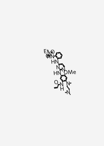 C=CC(=O)Nc1cc(Nc2nccc(Nc3ccccc3NS(=O)(=O)CC)n2)c(OC)cc1N(C)CCN(C)C